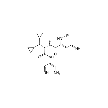 CC(C)N/C(=C\C=N)C(=O)N[C@H](C(=O)N/C(C=N)=C/N)C(C1CC1)C1CC1